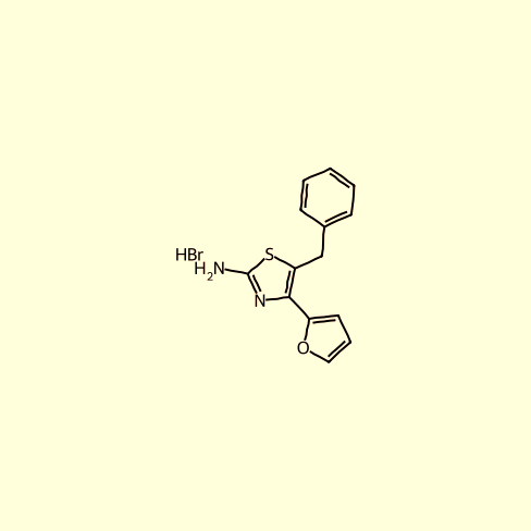 Br.Nc1nc(-c2ccco2)c(Cc2ccccc2)s1